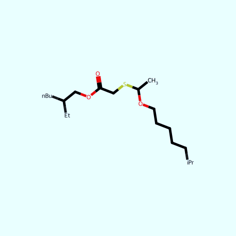 CCCCC(CC)COC(=O)CSC(C)OCCCCCC(C)C